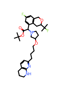 CC(C)(C)OC(=O)C(c1cc(F)cc2c1CC(C(C)(C)F)OC2)N1CCC(OCCCCc2ccc3c(n2)NCCC3)C1